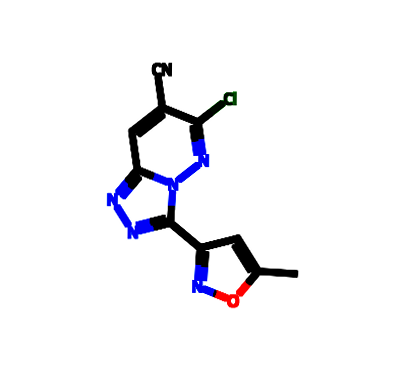 Cc1cc(-c2nnc3cc(C#N)c(Cl)nn23)no1